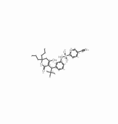 CCCC1(CCC)CC(O)=C(C(c2cccc(NS(=O)(=O)c3ccc(C#N)cn3)c2)C(C)(C)C)C(=O)O1